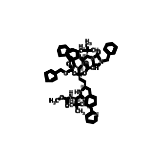 COC(=O)N[C@H](C(=O)N[C@@H](CC[C@](OC(=O)O)(OP(=O)(OCc1ccccc1)OCc1ccccc1)[C@H](Cc1ccccc1)NC(=O)[C@@H](N1CCN(Cc2ccccc2)C1=O)C(C)(C)C)Cc1ccc(-c2ccccn2)cc1)C(C)(C)C